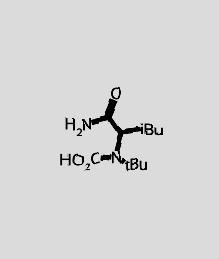 CCC(C)C(C(N)=O)N(C(=O)O)C(C)(C)C